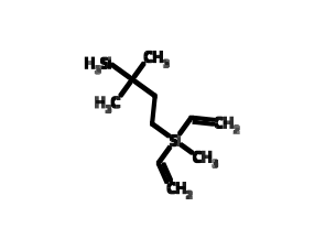 C=C[Si](C)(C=C)CCC(C)(C)[SiH3]